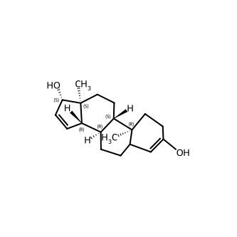 C[C@]12CC[C@H]3[C@@H](CCC4C=C(O)CC[C@@]43C)[C@@H]1C=C[C@@H]2O